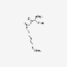 CCCCCCCCCCCCCCCCCC(=O)OC(=O)C(CCCCCCC)CCCCCCCCC